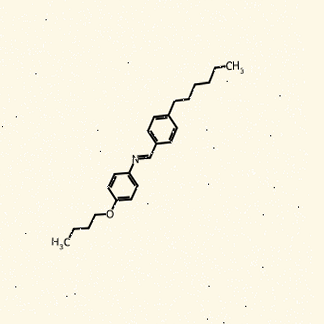 CCCCCCc1ccc(C=Nc2ccc(OCCCC)cc2)cc1